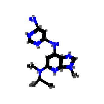 CC(N(C)c1cc(Nc2cc(N)ncn2)c2ncn(C)c2n1)C(C)(C)C